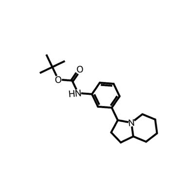 CC(C)(C)OC(=O)Nc1cccc(C2CCC3CCCCN32)c1